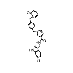 O=C(NCc1n[nH]c2cc(Cl)ccc12)c1cncc(Cc2ccc(Cn3ccccc3=O)cc2)c1